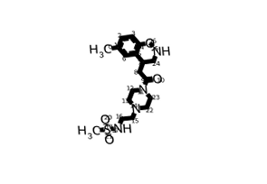 Cc1ccc2c(c1)C(CC(=O)N1CCN(CCNS(C)(=O)=O)CC1)CNO2